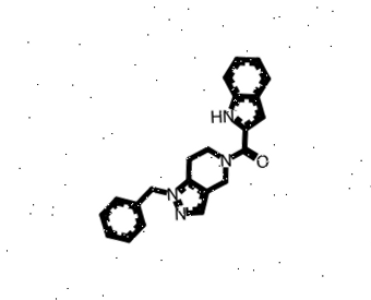 O=C(c1cc2ccccc2[nH]1)N1CCc2c(cnn2Cc2ccccc2)C1